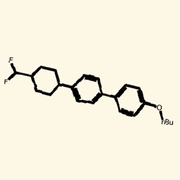 CCCCOc1ccc(-c2ccc(C3CCC(C(F)F)CC3)cc2)cc1